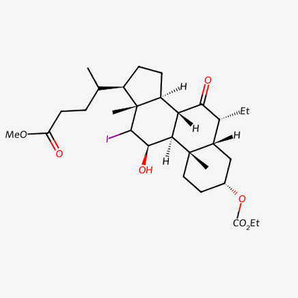 CCOC(=O)O[C@@H]1CC[C@]2(C)[C@@H]3[C@@H](C(=O)[C@H](CC)[C@@H]2C1)[C@@H]1CC[C@H](C(C)CCC(=O)OC)[C@@]1(C)C(I)[C@@H]3O